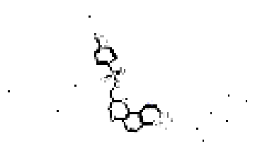 C/C=C\c1c(N)ccc2c1OC(COS(=O)(=O)c1ccc(C)cc1)CO2